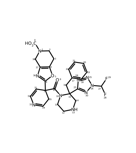 O=C(O)N1CCc2oc(C3(C(=O)N4CCNCC4(Cc4ccccc4)c4nnn(C(F)F)n4)C=CN=CC3)nc2C1